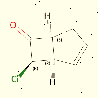 O=C1[C@H]2CC=C[C@H]2[C@H]1Cl